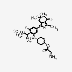 CS(=O)(=O)O.Cc1nn(-c2cc(F)c(C(N)=O)c(N[C@H]3CC[C@H](OC(=O)CN)CC3)c2)c2c1C(=O)CC(C)(C)C2